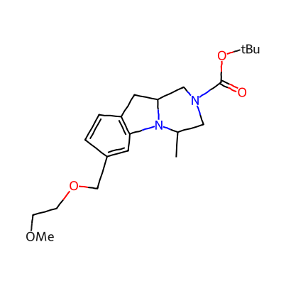 COCCOCc1ccc2c(c1)N1C(C)CN(C(=O)OC(C)(C)C)CC1C2